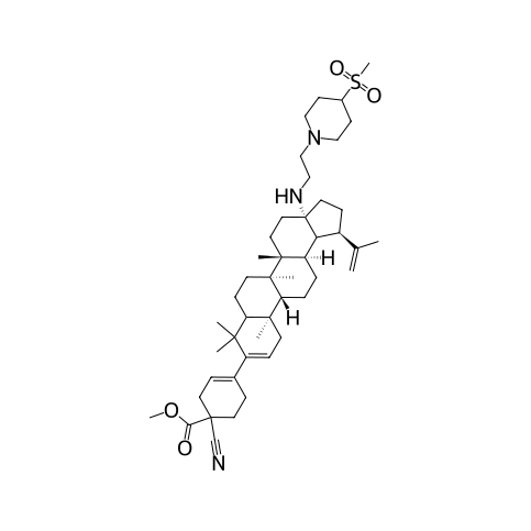 C=C(C)[C@@H]1CC[C@]2(NCCN3CCC(S(C)(=O)=O)CC3)CC[C@]3(C)[C@H](CC[C@@H]4[C@@]5(C)CC=C(C6=CCC(C#N)(C(=O)OC)CC6)C(C)(C)C5CC[C@]43C)C12